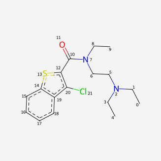 CCN(CC)CCN(CC)C(=O)c1sc2ccccc2c1Cl